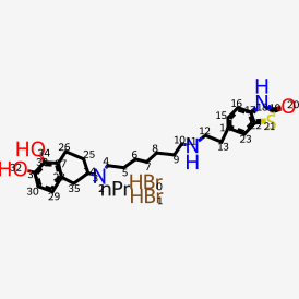 Br.Br.CCCN(CCCCCCCNCCc1ccc2[nH]c(=O)sc2c1)C1CCc2c(ccc(O)c2O)C1